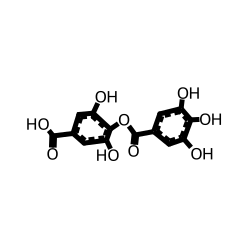 O=C(O)c1cc(O)c(OC(=O)c2cc(O)c(O)c(O)c2)c(O)c1